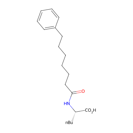 CCCC[C@H](NC(=O)CCCCCCc1ccccc1)C(=O)O